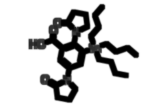 CCC[CH2][Sn]([CH2]CCC)([CH2]CCC)[c]1cc(N2CCCC2=O)cc(C(=O)O)c1N1CCCC1=O